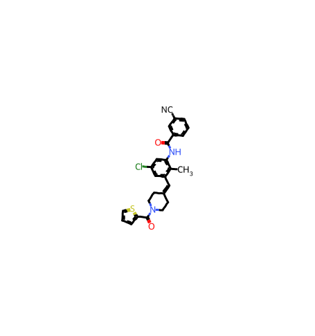 Cc1c(C=C2CCN(C(=O)c3cccs3)CC2)cc(Cl)cc1NC(=O)c1cccc(C#N)c1